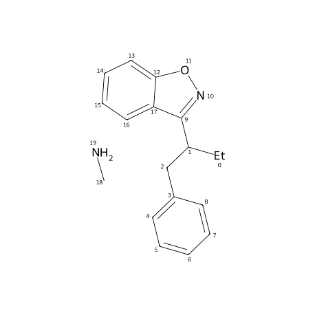 CCC(Cc1ccccc1)c1noc2ccccc12.CN